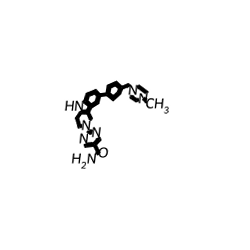 CN1CCN(Cc2ccc(-c3ccc4[nH]c5c(c4c3)CN(c3ncc(C(N)=O)cn3)CC5)cc2)CC1